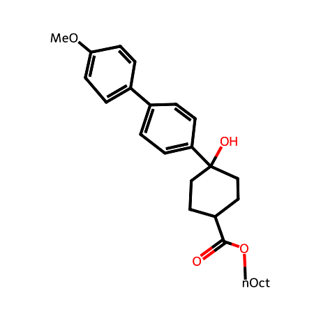 CCCCCCCCOC(=O)C1CCC(O)(c2ccc(-c3ccc(OC)cc3)cc2)CC1